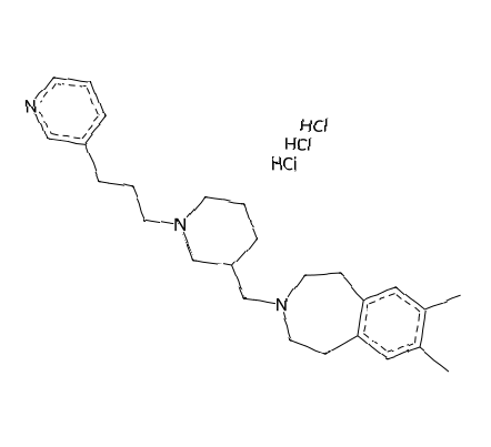 Cc1cc2c(cc1C)CCN(CC1CCCN(CCCc3cccnc3)C1)CC2.Cl.Cl.Cl